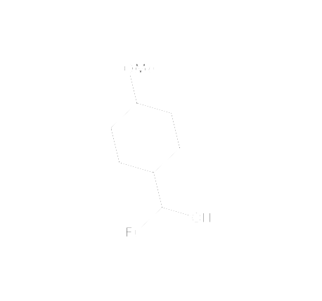 CCC(O)C1CCC(OC)CC1